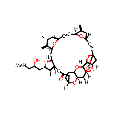 C=C1C[C@@H]2CCC34C[C@H]5O[C@@H]6[C@@H](OC7CC[C@H](CC(=O)C[C@@H]8[C@@H](C)[C@@H](C[C@H](O)CNC)O[C@H]8C[C@H]8O[C@@H](CC[C@@H]1O2)C[C@@H](C)C8=C)O[C@@H]7[C@@H]6O3)[C@H]5O4